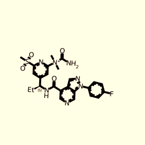 CC[C@H](NC(=O)c1cncc2c1cnn2-c1ccc(F)cc1)c1cc([N+](C)(C)C(N)=O)nc(S(C)(=O)=O)c1